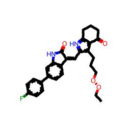 CCOOCCCc1c(/C=C2\C(=O)Nc3cc(-c4ccc(F)cc4)ccc32)[nH]c2c1C(=O)CCC2